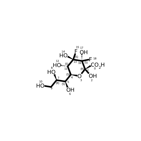 O=C(O)[C@@]1(O)O[C@@H]([C@@H](O)[C@H](O)CO)[C@H](O)[C@](O)(F)[C@@]1(O)F